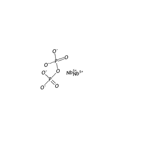 O=P([O-])([O-])OP(=O)([O-])[O-].[Nb+5].[Nb+5]